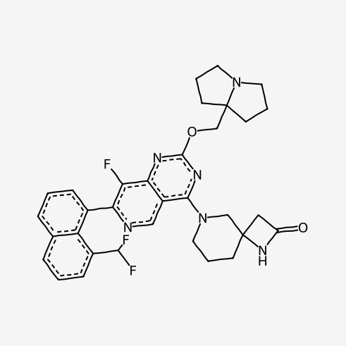 O=C1CC2(CCCN(c3nc(OCC45CCCN4CCC5)nc4c(F)c(-c5cccc6cccc(C(F)F)c56)ncc34)C2)N1